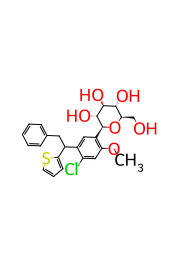 COc1cc(Cl)c(C(Cc2ccccc2)c2cccs2)cc1[C@@H]1O[C@H](CO)[C@@H](O)[C@H](O)[C@H]1O